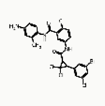 Cc1cc(N)ccc1NC(=O)c1cc(NC(=O)C2C(c3cc(Cl)cc(Br)c3)C2(Cl)Cl)ccc1Cl